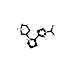 FC(F)n1ccc(-c2cccn2C2CCCNC2)n1